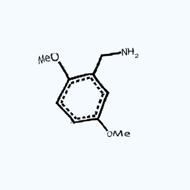 COc1[c]cc(OC)c(CN)c1